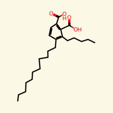 CCCCCCCCCCCc1ccc(C(=O)O)c(C(=O)O)c1CCCCC